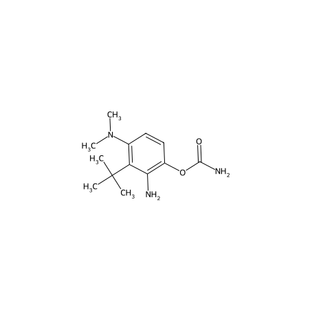 CN(C)c1ccc(OC(N)=O)c(N)c1C(C)(C)C